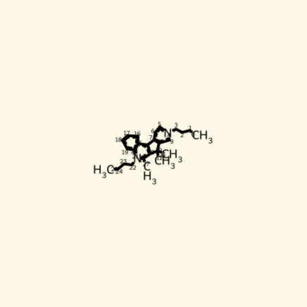 CCCC[n+]1ccc2c(c1)C(C)(C)c1c-2c2ccccc2[n+](CCCC)c1C